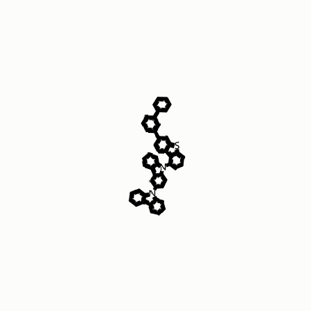 c1ccc(-c2cccc(-c3ccc4c(c3)sc3cccc(-n5c6ccccc6c6cc(-n7c8ccccc8c8ccccc87)ccc65)c34)c2)cc1